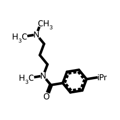 CC(C)c1ccc(C(=O)N(C)CCCN(C)C)cc1